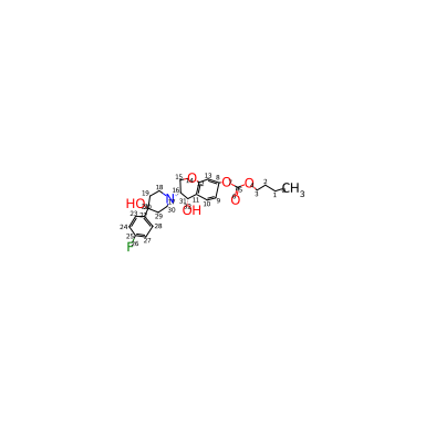 CCCCOC(=O)Oc1ccc2c(c1)OC[C@@H](N1CCC(O)(c3ccc(F)cc3)CC1)[C@H]2O